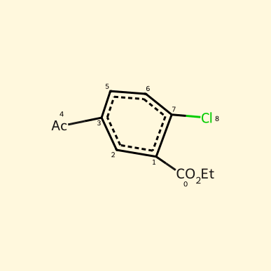 CCOC(=O)c1cc(C(C)=O)ccc1Cl